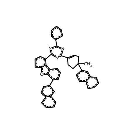 CC1(c2ccc3ccccc3c2)CC=C(c2nc(-c3ccccc3)nc(-c3cccc4oc5c(-c6ccc7ccccc7c6)cccc5c34)n2)CC1